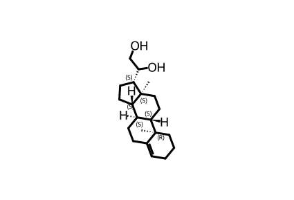 C[C@]12CC[C@H]3[C@@H](CCC4=CCCC[C@@]43C)[C@@H]1CC[C@@H]2C(O)CO